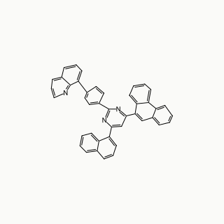 c1ccc2c(-c3cc(-c4cc5ccccc5c5ccccc45)nc(-c4ccc(-c5cccc6cccnc56)cc4)n3)cccc2c1